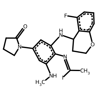 CNc1cc(N2CCCC2=O)cc(NC2CCOc3cccc(F)c32)c1/N=C(/C)I